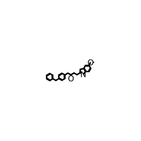 COc1ccc2c(c1)CC(CCC(=O)Cc1ccc(Cc3ccccc3)cc1)=N2